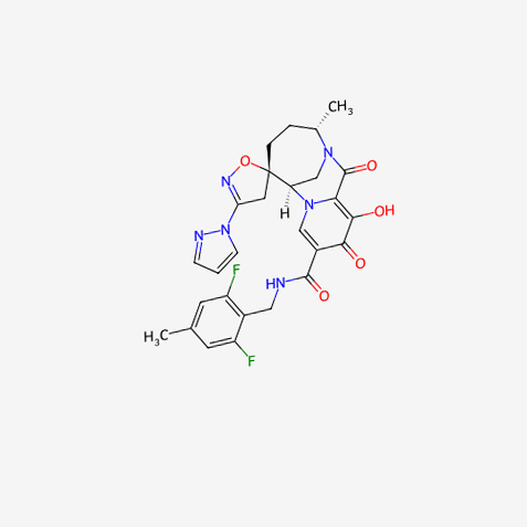 Cc1cc(F)c(CNC(=O)c2cn3c(c(O)c2=O)C(=O)N2C[C@@H]3[C@]3(CC[C@@H]2C)CC(n2cccn2)=NO3)c(F)c1